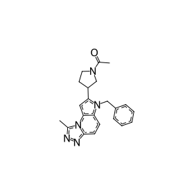 CC(=O)N1CCC(c2cc3c(ccc4nnc(C)n43)n2Cc2ccccc2)C1